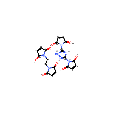 O=C1C=CC(=O)N1CCN1C(=O)C=CC1=O.O=C1C=CC(=O)N1c1n[nH]c(N2C(=O)C=CC2=O)n1